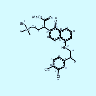 COC(=O)C(CO[Si](C)(C)C(C)(C)C)n1ccc2c(NCC(C)c3ccc(Cl)c(Cl)c3)cccc2c1=O